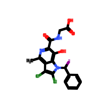 Cc1nc(C(=O)NCC(=O)O)c(O)c2c1c(Cl)c(Cl)n2C(I)c1ccccc1